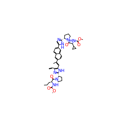 C=Cc1nc([C@@H]2CCCN2C(=O)[C@H](CCC)NC(=O)OC)[nH]c1/C=C(\C)c1ccc2cc(-c3cnc([C@@H]4CCCN4C(=O)[C@@H](NC(=O)OC)C4CC4)[nH]3)ccc2c1